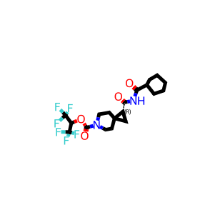 O=C(NC(=O)[C@@H]1CC12CCN(C(=O)OC(C(F)(F)F)C(F)(F)F)CC2)C1CCCCC1